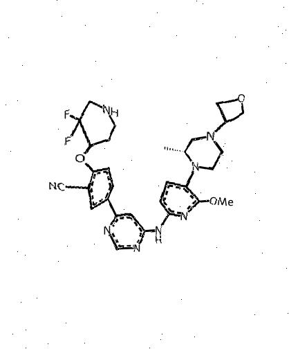 COc1nc(Nc2cc(-c3ccc(OC4CCNCC4(F)F)c(C#N)c3)ncn2)ccc1N1CCN(C2COC2)C[C@H]1C